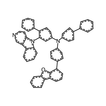 c1ccc(-c2ccc(N(c3ccc(-c4cccc5c4oc4ccccc45)cc3)c3ccc(-c4ccccc4)c(-n4c5ccccc5c5cnccc54)c3)cc2)cc1